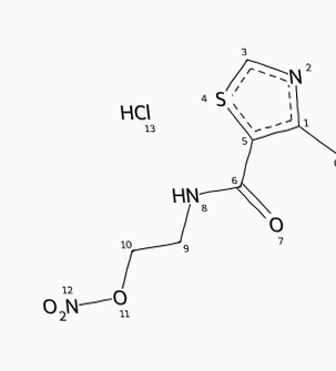 Cc1ncsc1C(=O)NCCO[N+](=O)[O-].Cl